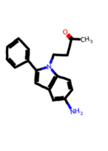 CC(=O)CCn1c(-c2ccccc2)cc2cc(N)ccc21